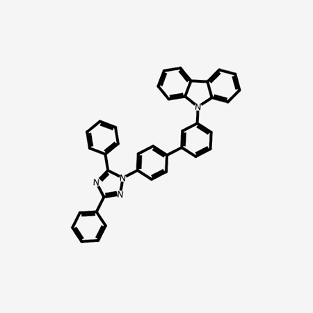 c1ccc(-c2nc(-c3ccccc3)n(-c3ccc(-c4cccc(-n5c6ccccc6c6ccccc65)c4)cc3)n2)cc1